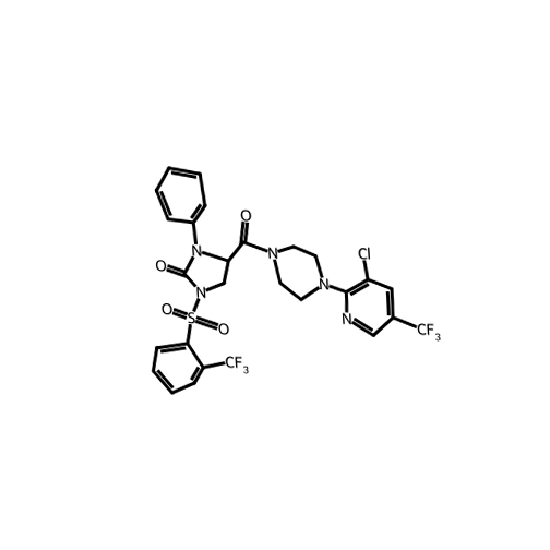 O=C(C1CN(S(=O)(=O)c2ccccc2C(F)(F)F)C(=O)N1c1ccccc1)N1CCN(c2ncc(C(F)(F)F)cc2Cl)CC1